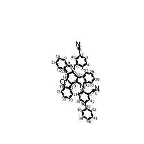 N#Cc1cccc(-n2c3ccccc3c3c4oc5ccccc5c4c4c(c5ccccc5n4-c4ccc(-c5ccccc5)cc4C#N)c32)c1